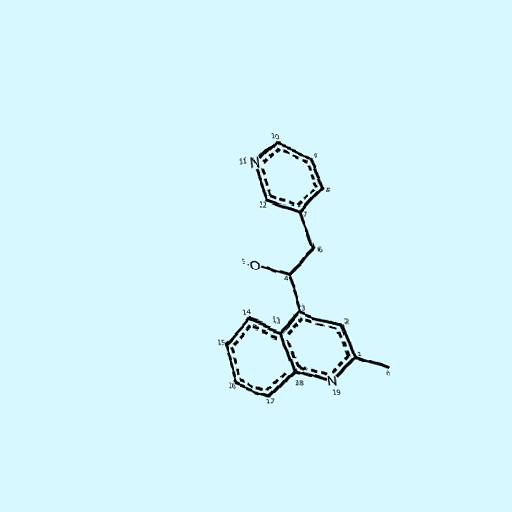 Cc1cc(C([O])Cc2cccnc2)c2ccccc2n1